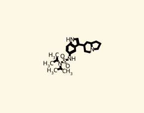 CC(C)N(C(C)C)S(=O)(=O)Nc1ccc2[nH]cc(C3CCN4CCCC4C3)c2c1